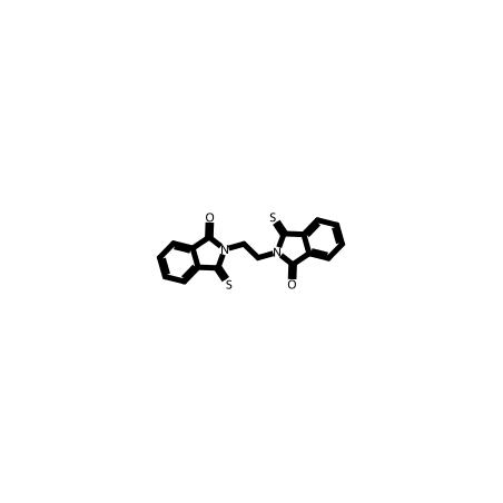 O=C1c2ccccc2C(=S)N1CCN1C(=O)c2ccccc2C1=S